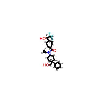 C[C@](O)(c1ccc(C(=O)N(C2CC2)C2CCC(CO)(c3ccccc3)CC2)cc1)C(F)(F)F